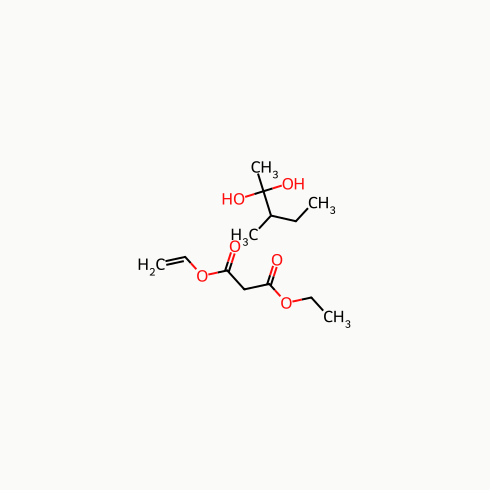 C=COC(=O)CC(=O)OCC.CCC(C)C(C)(O)O